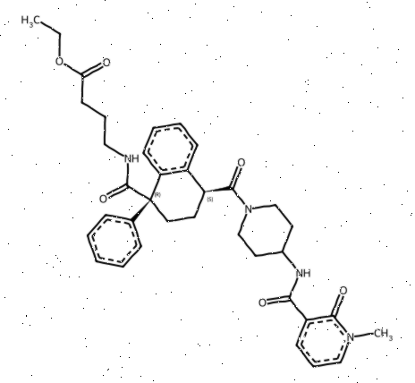 CCOC(=O)CCCNC(=O)[C@@]1(c2ccccc2)CC[C@H](C(=O)N2CCC(NC(=O)c3cccn(C)c3=O)CC2)c2ccccc21